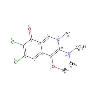 CCCCOc1c2cc(Cl)c(Cl)c(=O)c-2cn(C(C)C)c1N(C)C(=O)O